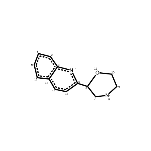 c1ccc2nc(C3C[N]CCO3)ccc2c1